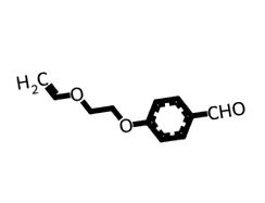 C=COCCOc1ccc(C=O)cc1